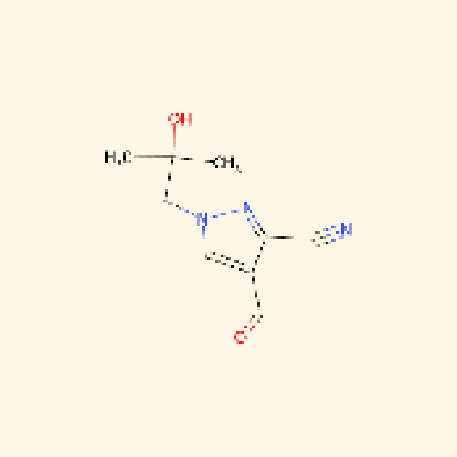 CC(C)(O)Cn1cc(C=O)c(C#N)n1